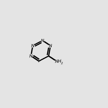 Nc1[c]nnnn1